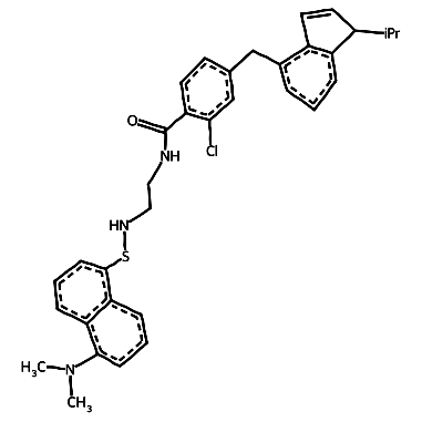 CC(C)C1C=Cc2c(Cc3ccc(C(=O)NCCNSc4cccc5c(N(C)C)cccc45)c(Cl)c3)cccc21